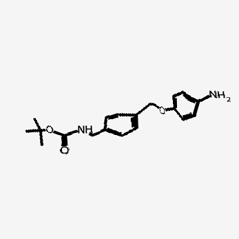 CC(C)(C)OC(=O)NCc1ccc(COc2ccc(N)cc2)cc1